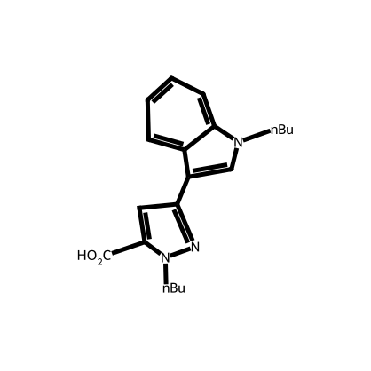 CCCCn1nc(-c2cn(CCCC)c3ccccc23)cc1C(=O)O